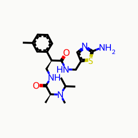 Cc1cccc([C@H](CNC(=O)[C@H](C)N(C)C(C)C)C(=O)NCc2cnc(N)s2)c1